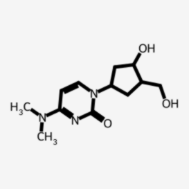 CN(C)c1ccn(C2CC(O)C(CO)C2)c(=O)n1